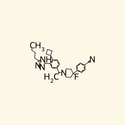 C=C(c1ccc(C2CCC2)c(-c2nnc(CCCC)[nH]2)c1)N1CCC(F)(c2ccc(C#N)cc2)CC1